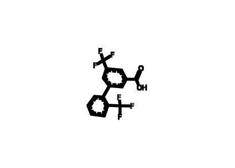 O=C(O)c1cc(-c2ccccc2C(F)(F)F)cc(C(F)(F)F)c1